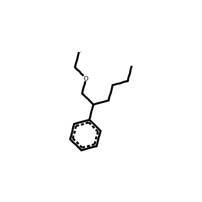 [CH2]COCC(CCCC)c1ccccc1